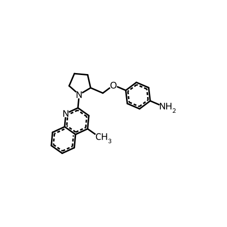 Cc1cc(N2CCCC2COc2ccc(N)cc2)nc2ccccc12